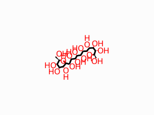 OC[C@H]1OC(C(O)[C@@H](O)[C@@H](O)[C@H](O)[C@H](O)C(O)C2O[C@H](CO)[C@@H](O)[C@H](O)[C@H]2O)[C@H](O)[C@@H](O)[C@@H]1O